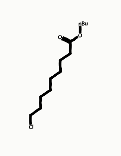 CCCCOC(=O)CCCCCCCCCl